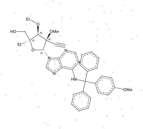 C#C[C@@]1(OC)[C@H](OCC)[C@](CC)(CO)O[C@H]1n1cnc2c(NC(c3ccccc3)(c3ccccc3)c3ccc(OC)cc3)ncnc21